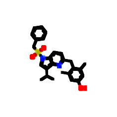 Cc1cc(O)cc(C)c1Cc1ccc2c(n1)c(C(C)C)cn2S(=O)(=O)Cc1ccccc1